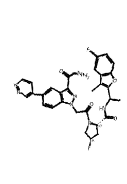 Cc1c(C(C)NC(=O)[C@@H]2C[C@@H](F)CN2C(=O)Cn2nc(C(N)=O)c3cc(-c4ccnnc4)ccc32)oc2ccc(F)cc12